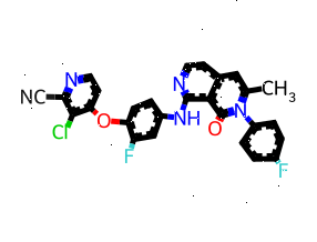 Cc1cc2ccnc(Nc3ccc(Oc4ccnc(C#N)c4Cl)c(F)c3)c2c(=O)n1-c1ccc(F)cc1